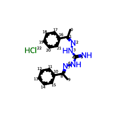 CC(=NNC(=N)NN=C(C)c1ccccc1)c1ccccc1.Cl